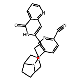 N#Cc1ccc(N2CC3CCC(C2)N3CCCc2cc3ncccc3c(=O)[nH]2)cn1